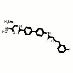 NC[C@H](NC(=O)c1ccc(-c2ccc(NC(=O)CNCc3cccc(F)c3)cc2)cc1)C(=O)NO